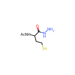 CC(=O)NC(CCS)C(=O)NN